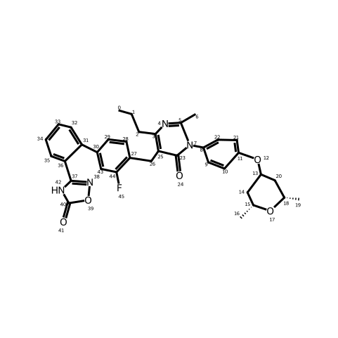 CCCc1nc(C)n(-c2ccc(OC3C[C@@H](C)O[C@@H](C)C3)cc2)c(=O)c1Cc1ccc(-c2ccccc2-c2noc(=O)[nH]2)cc1F